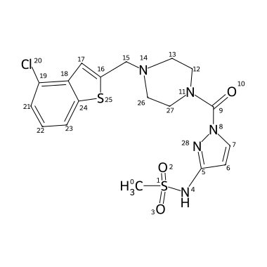 CS(=O)(=O)Nc1ccn(C(=O)N2CCN(Cc3cc4c(Cl)cccc4s3)CC2)n1